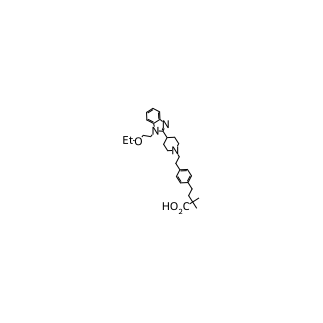 CCOCCn1c(C2CCN(CCc3ccc(CCC(C)(C)C(=O)O)cc3)CC2)nc2ccccc21